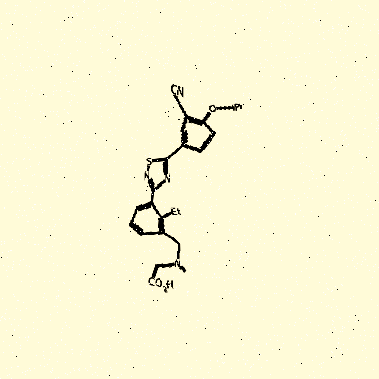 CCc1c(CN(C)CC(=O)O)cccc1-c1nsc(-c2ccc(OC(C)C)c(C#N)c2)n1